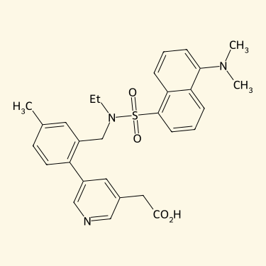 CCN(Cc1cc(C)ccc1-c1cncc(CC(=O)O)c1)S(=O)(=O)c1cccc2c(N(C)C)cccc12